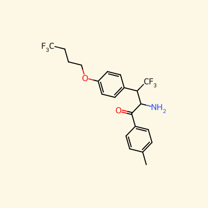 Cc1ccc(C(=O)C(N)C(c2ccc(OCCCC(F)(F)F)cc2)C(F)(F)F)cc1